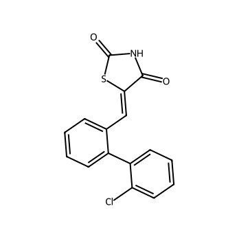 O=C1NC(=O)C(=Cc2ccccc2-c2ccccc2Cl)S1